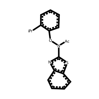 CC(=O)N(Oc1ccccc1C(C)C)c1nc2ccccc2s1